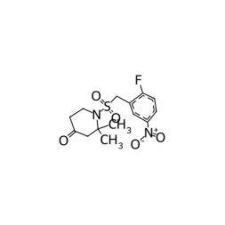 CC1(C)CC(=O)CCN1S(=O)(=O)Cc1cc([N+](=O)[O-])ccc1F